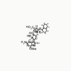 CCCC[C@H](NP(=O)(OC[C@H]1O[C@@H](n2c(I)nc3c(OC)nc(N)nc32)[C@](C)(O)[C@@H]1O)Oc1cccc2ccccc12)C(=O)O